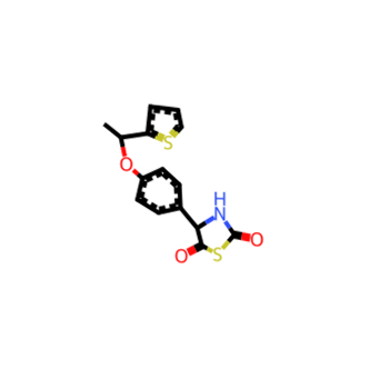 CC(Oc1ccc(C2NC(=O)SC2=O)cc1)c1cccs1